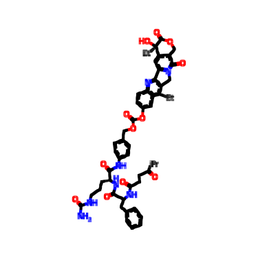 CCc1c2c(nc3ccc(OC(=O)OCc4ccc(NC(=O)[C@H](CCCNC(N)=O)NC(=O)C(Cc5ccccc5)NC(=O)CCC(=O)C(C)C)cc4)cc13)-c1cc3c(c(=O)n1C2)COC(=O)[C@]3(O)CC